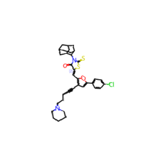 O=C1/C(=C/c2oc(-c3ccc(Cl)cc3)cc2C#CCCCN2CCCCC2)SC(=S)N1C1C2CC3CC(C2)CC1C3